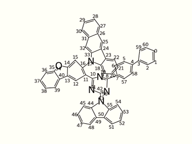 c1ccc(-c2ccc(-c3nc(-c4cc5c(cc4-n4c6ccccc6c6cc7ccccc7cc64)oc4ccccc45)nc(-n4c5ccccc5c5ccccc54)n3)cc2)cc1